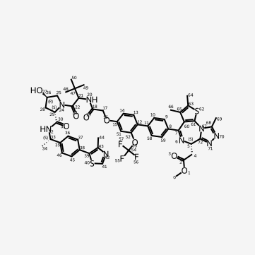 COC(=O)C[C@@H]1N=C(c2ccc(-c3ccc(OCC(=O)NC(C(=O)N4C[C@H](O)C[C@H]4C(=O)N[C@@H](C)c4ccc(-c5scnc5C)cc4)C(C)(C)C)cc3OC(F)(F)F)cc2)c2c(sc(C)c2C)-n2c(C)nnc21